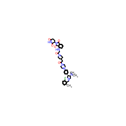 Cc1cccc(F)c1CN1C[C@H](c2ccc(N3CCN(C(=O)CC4CCN(C(=O)CNc5cccc6c5C(=O)N(C5CCC(=O)NC5=O)C6=O)CC4)CC3)cc2)[C@@H](N(C)C)C1